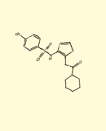 CCCc1ccc(S(=O)(=O)Nc2ccsc2CC(=O)N2CCCCC2)cc1